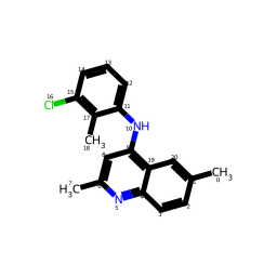 Cc1ccc2nc(C)cc(Nc3cccc(Cl)c3C)c2c1